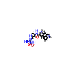 CC[C@H](CCCNC(=N)N[N+](=O)[O-])NC(=O)[C@@H]1C[C@@H]2c3cccc4c3c(cn4C)C[C@H]2N(C)C1